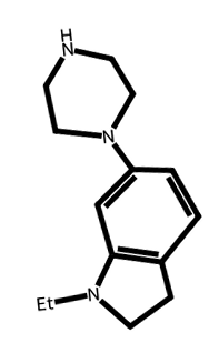 CCN1CCc2ccc(N3CCNCC3)cc21